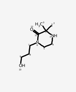 CC1(I)NCCN(CCCO)C1=O